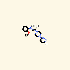 CCOc1ccccc1N(CCN1CCN(c2ccc(Cl)nn2)CC1)C(=O)O